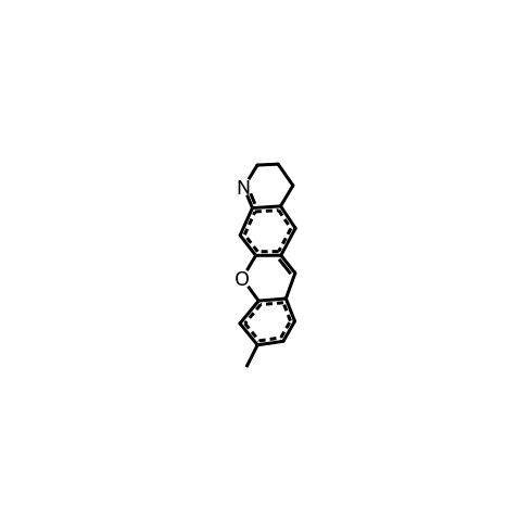 Cc1ccc2c(c1)Oc1cc3c(cc1=C2)CCCN=3